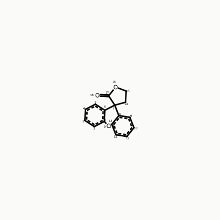 N#Cc1ccccc1C1(c2ccccc2)CCOC1=O